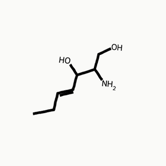 CC/C=C/C(O)C(N)CO